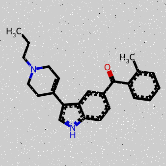 CCCN1CC=C(c2c[nH]c3ccc(C(=O)c4ccccc4C)cc23)CC1